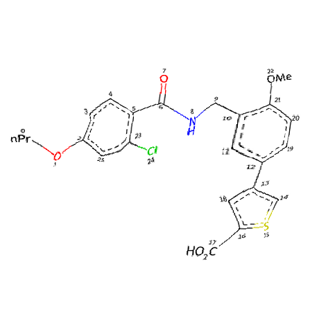 CCCOc1ccc(C(=O)NCc2cc(-c3csc(C(=O)O)c3)ccc2OC)c(Cl)c1